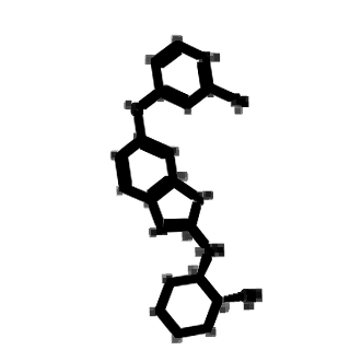 CC(=O)c1cc(Oc2ccc3nc(N[C@@H]4CCCC[C@H]4O)sc3c2)ccn1